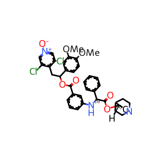 COc1ccc(C(Cc2c(Cl)c[n+]([O-])cc2Cl)OC(=O)c2cccc(N[C@H](C(=O)O[C@H]3CN4CCC3CC4)c3ccccc3)c2)cc1OC